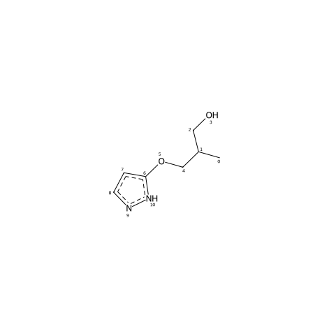 CC(CO)COc1ccn[nH]1